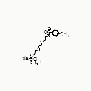 Cc1ccc(S(=O)(=O)OCCOCCOCCO[Si](C)(C)C(C)(C)C)cc1